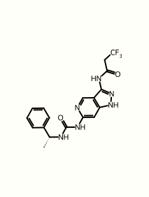 C[C@@H](NC(=O)Nc1cc2[nH]nc(NC(=O)CC(F)(F)F)c2cn1)c1ccccc1